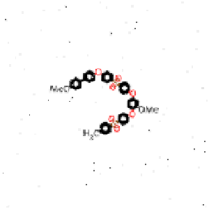 COc1ccc(-c2ccc(Oc3ccc(S(=O)(=O)c4ccc(Oc5ccc(Oc6ccc(S(=O)(=O)c7ccc(C)cc7)cc6)c(OC)c5)cc4)cc3)cc2)cc1